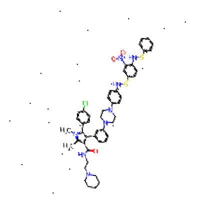 Cc1c(C(=O)NCCN2CCCCC2)c(-c2cccc(N3CCN(c4ccc(NSc5ccc(NSc6ccccc6)c([N+](=O)[O-])c5)cc4)CC3)c2)c(-c2ccc(Cl)cc2)n1C